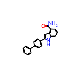 NC(=O)c1cccc2[nH]c(-c3ccc(-c4ccccc4)cc3)cc12